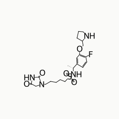 C[C@@H](NS(=O)(=O)CCCCCN1CC(=O)NC1=O)c1ccc(F)c(OCC2CCCN2)c1